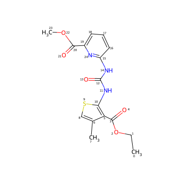 CCOC(=O)c1c(C)csc1NC(=O)Nc1cccc(C(=O)OC)n1